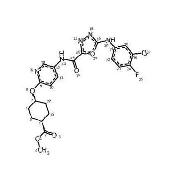 COC(=O)[C@H]1CC[C@@H](Oc2ccc(NC(=O)c3nnc(Nc4ccc(F)c(Cl)c4)o3)cn2)CC1